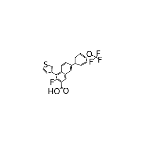 O=C(O)c1cc2cc(-c3ccc(OC(F)(F)F)cc3)ccc2c(-c2ccsc2)c1F